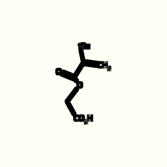 C=C(C(=O)OCC(=O)O)C(C)(C)C